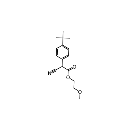 COCCOC(=O)C(C#N)c1ccc(C(C)(C)C)cc1